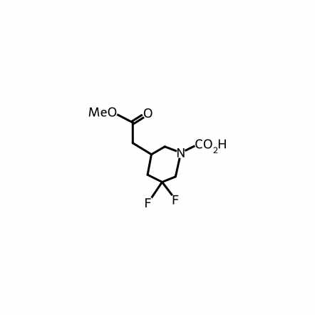 COC(=O)CC1CN(C(=O)O)CC(F)(F)C1